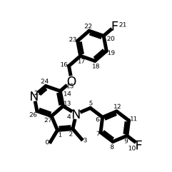 Cc1c(C)n(Cc2ccc(F)cc2)c2c(OCc3ccc(F)cc3)cncc12